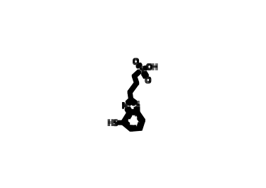 O=S(=O)(O)CCCc1nc2c(S)cccc2s1